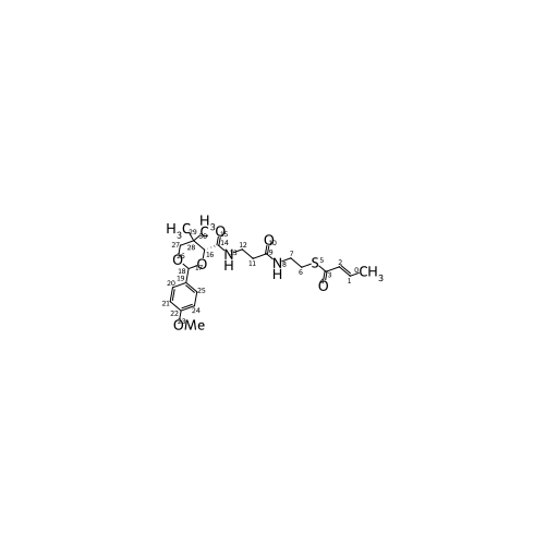 C/C=C/C(=O)SCCNC(=O)CCNC(=O)[C@@H]1OC(c2ccc(OC)cc2)OCC1(C)C